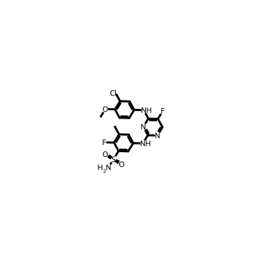 COc1ccc(Nc2nc(Nc3cc(C)c(F)c(S(N)(=O)=O)c3)ncc2F)cc1Cl